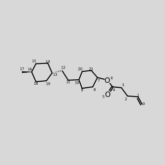 C=CCCC(=O)OC1CCC(CC[C@H]2CC[C@H](C)CC2)CC1